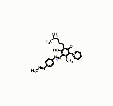 CN=Nc1ccc(/N=N/c2c(C)c(-[n+]3ccccc3)c(=O)n(CCCN(C)C)c2O)cc1